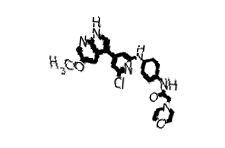 COc1cnc2[nH]cc(-c3cc(Cl)nc(N[C@H]4CC[C@H](NC(=O)CN5CCOCC5)CC4)c3)c2c1